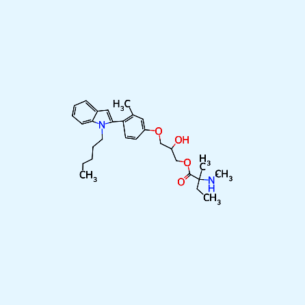 CCCCCn1c(-c2ccc(OCC(O)COC(=O)C(C)(CC)NC)cc2C)cc2ccccc21